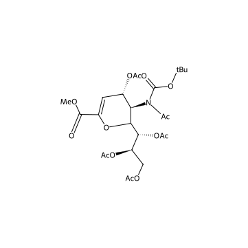 COC(=O)C1=C[C@H](OC(C)=O)[C@@H](N(C(C)=O)C(=O)OC(C)(C)C)C([C@H](OC(C)=O)[C@@H](COC(C)=O)OC(C)=O)O1